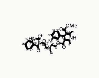 COC(=O)C1=C(C)NC(C)=C(C(=O)OCCN(C)CCn2c(=O)[nH]c3ccccc3c2=O)C1c1cccc([N+](=O)[O-])c1